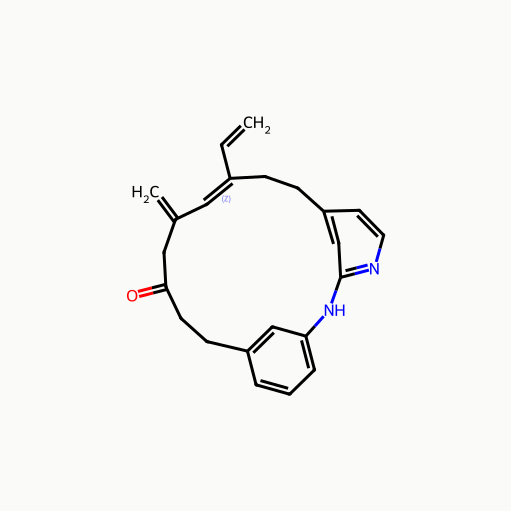 C=C/C1=C\C(=C)CC(=O)CCc2cccc(c2)Nc2cc(ccn2)CC1